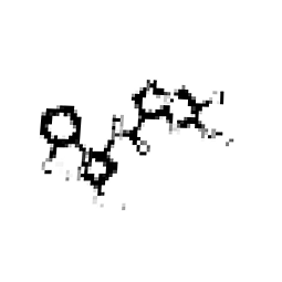 Cc1cc(NC(=O)c2cnn3cc(Cl)c(N)nc23)n(-c2ccccc2C)n1